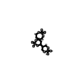 O=S1(=O)OCC(C2CC3(CCOS(=O)(=O)OC3)OS(=O)(=O)O2)CO1